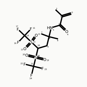 C=C(C)C(=O)NC(C)(C)CC(S(=O)(=O)C(F)(F)F)S(=O)(=O)C(F)(F)F